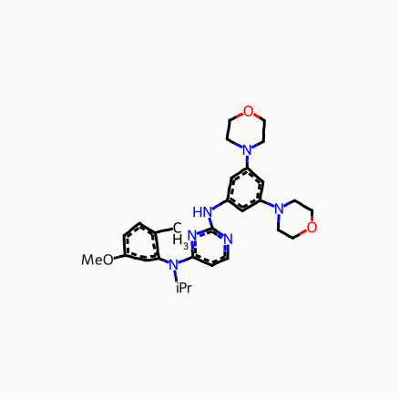 COc1ccc(C)c(N(c2ccnc(Nc3cc(N4CCOCC4)cc(N4CCOCC4)c3)n2)C(C)C)c1